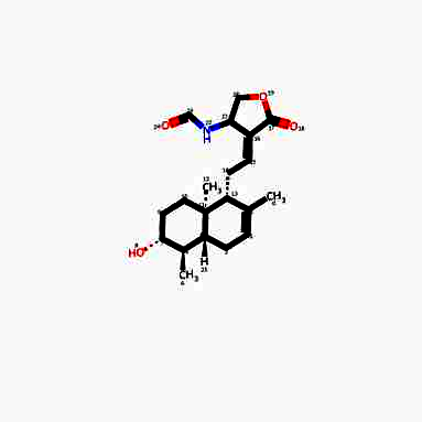 CC1=CC[C@@H]2[C@@H](C)[C@H](O)CC[C@@]2(C)[C@@H]1C/C=C1/C(=O)OCC1NC=O